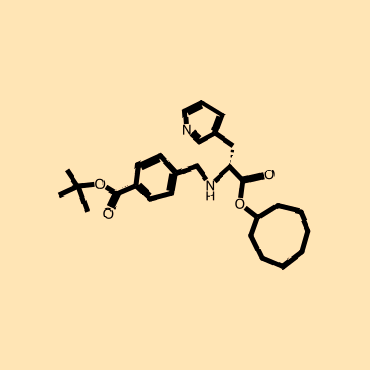 CC(C)(C)OC(=O)c1ccc(CN[C@H](Cc2cccnc2)C(=O)OC2CCCCCCC2)cc1